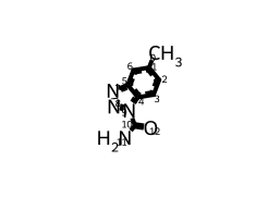 Cc1ccc2c(c1)nnn2C(N)=O